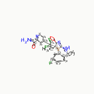 C[C@H](NC1=NC(=O)C(C)(C(F)(F)c2ccnc(C(N)=O)c2)S1)c1ccc(F)cc1